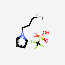 CCCCn1cccc1.O=S(=O)(O)C(F)(F)F